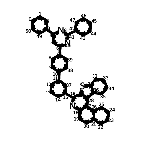 c1ccc(-c2cc(-c3ccc(-c4cccc(-c5nc6ccc7ccccc7c6c6c5sc5ccccc56)c4)cc3)nc(-c3ccccc3)n2)cc1